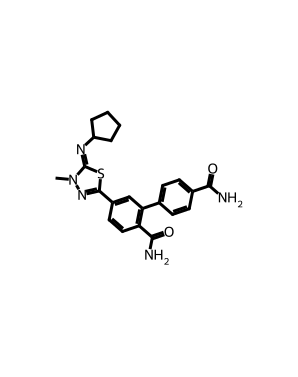 Cn1nc(-c2ccc(C(N)=O)c(-c3ccc(C(N)=O)cc3)c2)sc1=NC1CCCC1